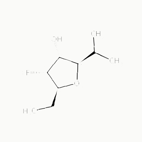 CC[C@@H]1O[C@H](C(C)C)[C@@H](O)[C@H]1F